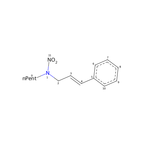 CCCCCN(CC=Cc1ccccc1)[N+](=O)[O-]